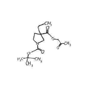 CCC1(C(=O)OCC(C)=O)CCN(C(=O)OC(C)(C)C)C1